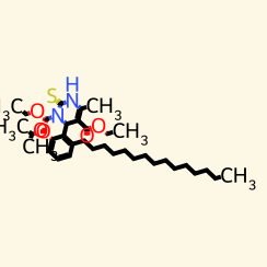 CCCCCCCCCCCCCCCc1cccc(OC(C)C)c1C1C(C(=O)OCC)=C(C)NC(=S)N1C(=O)OCC